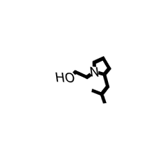 CC(C)CC1CCCN1CCO